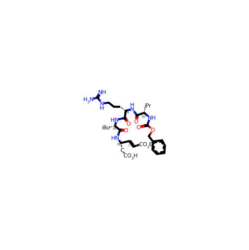 CCOC(=O)/C=C/[C@H](CC(=O)O)NC(=O)[C@@H](NC(=O)[C@H](CCCNC(=N)N)NC(=O)[C@@H](NC(=O)OCc1ccccc1)C(C)C)C(C)CC